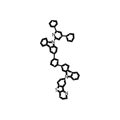 c1ccc(-c2cc(-c3ccccc3)nc(-n3c4ccccc4c4cc(-c5cccc(-c6ccc7c8ccccc8n(-c8ccc9sc%10cccnc%10c9c8)c7c6)c5)ccc43)c2)cc1